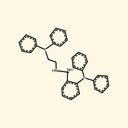 N=C(NCCP(c1ccccc1)c1ccccc1)c1ccccc1P(c1ccccc1)c1ccccc1